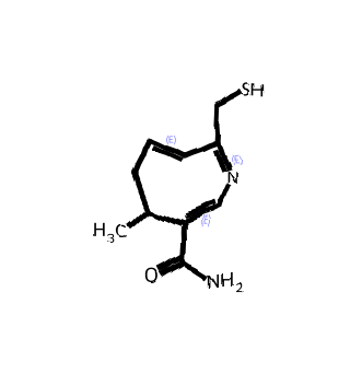 CC1C/C=C/C(CS)=N\C=C/1C(N)=O